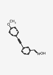 COc1ccc(C#Cc2cccc(C=NO)c2)cc1